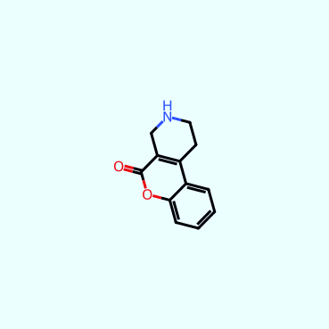 O=c1oc2ccccc2c2c1CNCC2